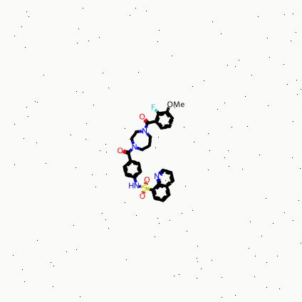 COc1cccc(C(=O)N2CCCN(C(=O)c3ccc(NS(=O)(=O)c4cccc5cccnc45)cc3)CC2)c1F